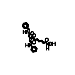 O=C(CCCCCC(=O)N(CC(=O)NCc1ccccc1)CC(=O)Nc1ccccc1)NO